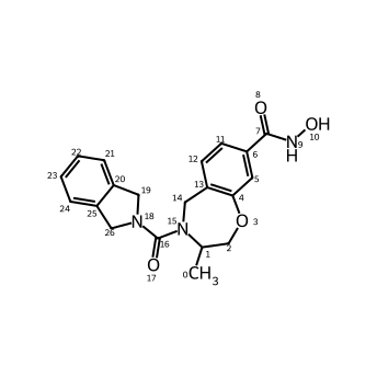 CC1COc2cc(C(=O)NO)ccc2CN1C(=O)N1Cc2ccccc2C1